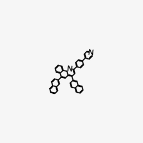 c1ccc2cc(-c3cc4c(-c5ccc6ccccc6c5)cc(-c5ccc(-c6ccncc6)cc5)nc4c4ccccc34)ccc2c1